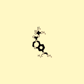 CCN(C)c1ccc2c(c1)OCCN(C(=O)OC(C)(C)C)C2